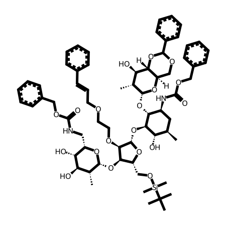 C[C@H]1[C@@H](O[C@H]2[C@@H](OCCOC/C=C/c3ccccc3)[C@H](O[C@@H]3[C@@H](O)[C@H](C)C[C@H](NC(=O)OCc4ccccc4)[C@H]3O[C@H]3O[C@@H]4COC(c5ccccc5)O[C@H]4[C@H](O)[C@H]3C)O[C@@H]2CO[Si](C)(C)C(C)(C)C)O[C@@H](CNC(=O)OCc2ccccc2)[C@@H](O)[C@@H]1O